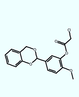 COc1ccc(C2OCc3ccccc3O2)cc1OC(=O)CCl